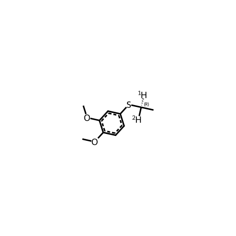 [1H][C@@]([2H])(C)Sc1ccc(OC)c(OC)c1